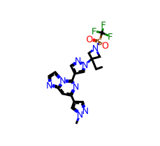 CCC1(n2cc(-c3nc(-c4cnn(C)c4)cc4nccn34)cn2)CN(S(=O)(=O)C(F)(F)F)C1